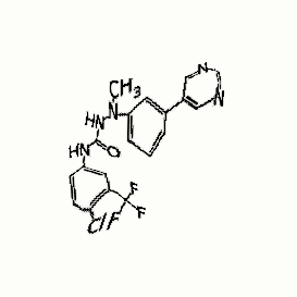 CN(NC(=O)Nc1ccc(Cl)c(C(F)(F)F)c1)c1cccc(-c2cncnc2)c1